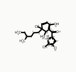 CCC(C)CCCC1(Cl)C=CC(O)=C(C(=O)c2cc(Cl)c(Cl)[nH]2)C1O